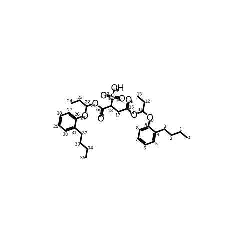 CCCCc1ccccc1OC(CC)OC(=O)CC(C(=O)OC(CC)Oc1ccccc1CCCC)S(=O)(=O)O